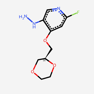 NNc1cnc(F)cc1OC[C@@H]1COCCO1